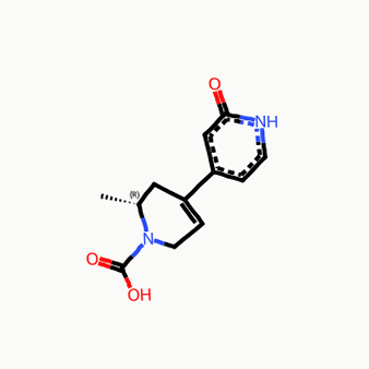 C[C@@H]1CC(c2cc[nH]c(=O)c2)=CCN1C(=O)O